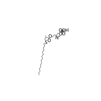 CCCCCCCCCCCCCCCCSCC(C)C(=O)OCCC(COP(=O)([O-])O)[N+](C)(C)C